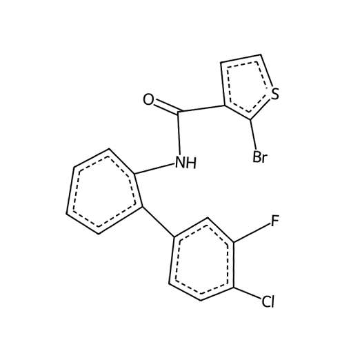 O=C(Nc1ccccc1-c1ccc(Cl)c(F)c1)c1ccsc1Br